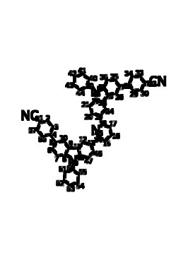 N#Cc1ccc(-c2ccc3c(c2)c2cc(-c4cccc(-c5ccc6c(c5)c5cc(-c7ccc(C#N)cc7)ccc5n6-c5ccccc5)n4)ccc2n3-c2ccccc2)cc1